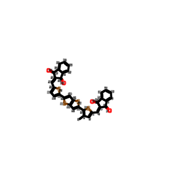 Cc1cc(C=C2C(=O)c3ccccc3C2=O)sc1-c1cc2sc(-c3ccc(C=C4C(=O)c5ccccc5C4=O)s3)cc2s1